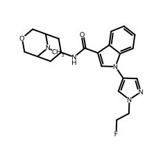 CN1C2COCC1CC(NC(=O)c1cn(-c3cnn(CCF)c3)c3ccccc13)C2